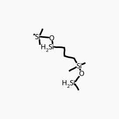 C[SiH2]O[Si](C)(C)CCC[SiH2]O[Si](C)(C)C